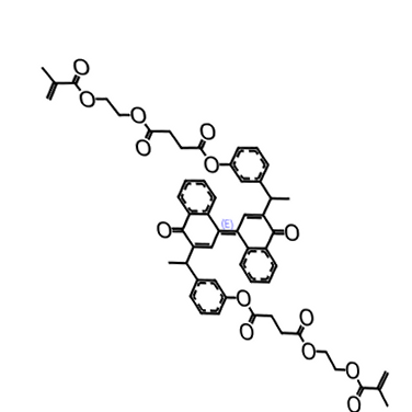 C=C(C)C(=O)OCCOC(=O)CCC(=O)Oc1cccc(C(C)C2=C/C(=C3/C=C(C(C)c4cccc(OC(=O)CCC(=O)OCCOC(=O)C(=C)C)c4)C(=O)c4ccccc43)c3ccccc3C2=O)c1